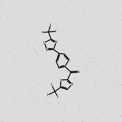 O=C(c1ccc(-c2noc(C(F)(F)F)n2)cc1)c1ncc(C(F)(F)F)s1